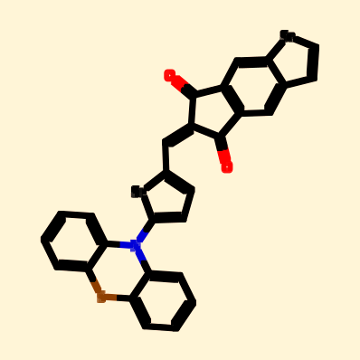 O=C1/C(=C\c2ccc(N3c4ccccc4Sc4ccccc43)[se]2)C(=O)c2cc3[se]ccc3cc21